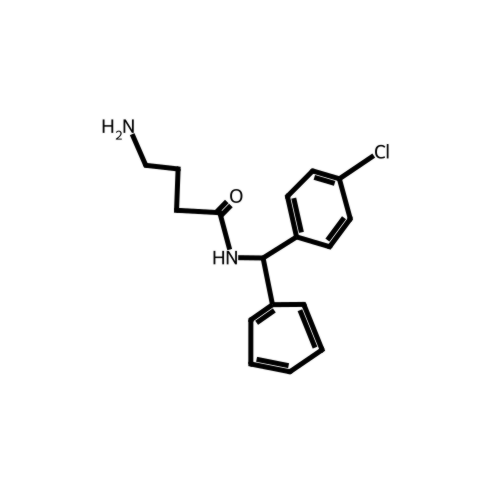 NCCCC(=O)NC(c1ccccc1)c1ccc(Cl)cc1